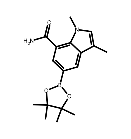 Cc1cn(C)c2c(C(N)=O)cc(B3OC(C)(C)C(C)(C)O3)cc12